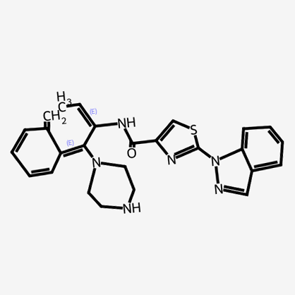 C=c1cccc/c1=C(/C(=C\C)NC(=O)c1csc(-n2ncc3ccccc32)n1)N1CCNCC1